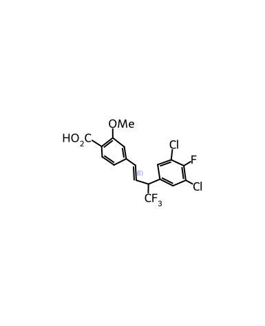 COc1cc(/C=C/C(c2cc(Cl)c(F)c(Cl)c2)C(F)(F)F)ccc1C(=O)O